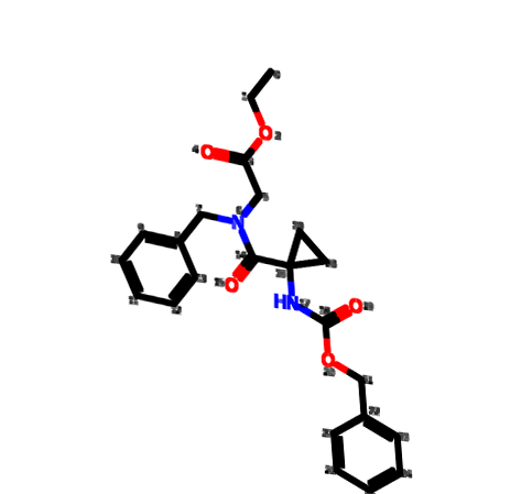 CCOC(=O)CN(Cc1ccccc1)C(=O)C1(NC(=O)OCc2ccccc2)CC1